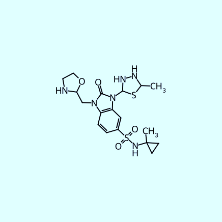 CC1NNC(n2c(=O)n(CC3NCCO3)c3ccc(S(=O)(=O)NC4(C)CC4)cc32)S1